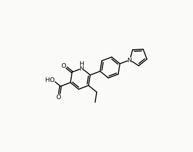 CCc1cc(C(=O)O)c(=O)[nH]c1-c1ccc(-n2cccc2)cc1